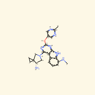 CNc1cccc2c1[nH]c1nc(Oc3cnc(C)nc3)nc(N3C[C@H](N)C4(CC4)C3)c12